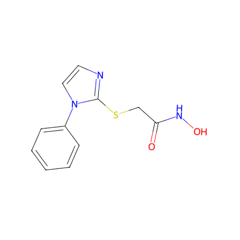 O=C(CSc1nccn1-c1ccccc1)NO